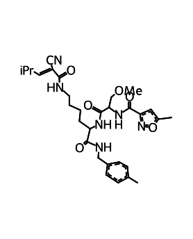 COCC(NC(=O)c1cc(C)on1)C(=O)NC(CCCCNC(=O)C(C#N)=CC(C)C)C(=O)NCc1ccc(C)cc1